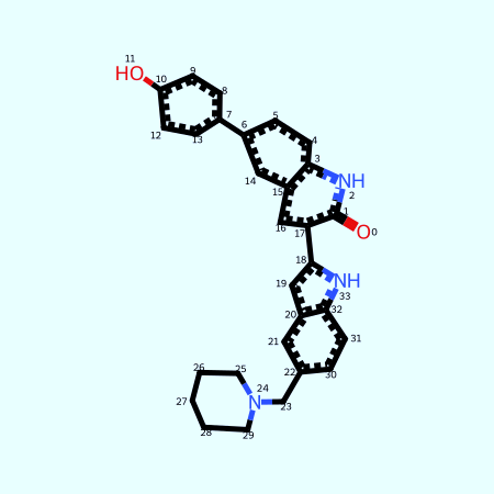 O=c1[nH]c2ccc(-c3ccc(O)cc3)cc2cc1-c1cc2cc(CN3CCCCC3)ccc2[nH]1